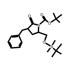 CC(C)(C)OC(=O)N1C(=O)C(Cc2ccccc2)CC1CO[Si](C)(C)C(C)(C)C